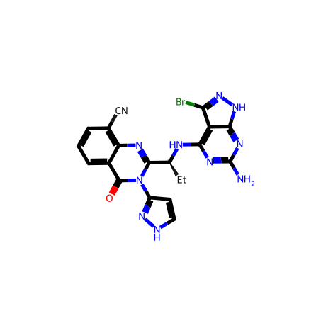 CC[C@H](Nc1nc(N)nc2[nH]nc(Br)c12)c1nc2c(C#N)cccc2c(=O)n1-c1cc[nH]n1